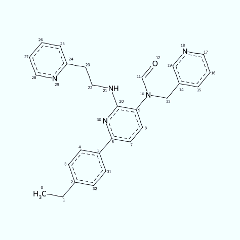 CCc1ccc(-c2ccc(N(C=O)Cc3cccnc3)c(NCCc3ccccn3)n2)cc1